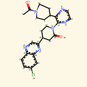 CC(=O)N1CCC(c2nccnc2N2CCC(c3cnc4ccc(Cl)cc4n3)CC2=O)CC1